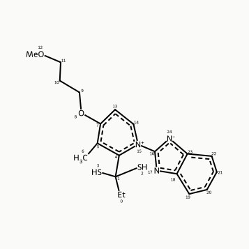 CCC(S)(S)c1c(C)c(OCCCOC)cc[n+]1-c1nc2ccccc2[n-]1